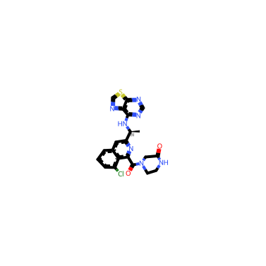 C[C@H](Nc1ncnc2scnc12)c1cc2cccc(Cl)c2c(C(=O)N2CCNC(=O)C2)n1